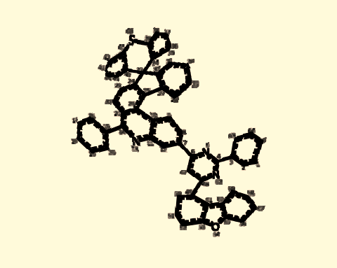 c1ccc(-c2nc(-c3ccc4c(c3)nc(-c3ccccc3)c3ccc5c(c34)-c3ccccc3C53c4ccccc4Sc4ccccc43)cc(-c3cccc4oc5ccccc5c34)n2)cc1